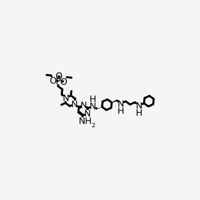 CCOP(=O)(CCCN1C(C)CN(c2cc(N)nc(NC[C@H]3CC[C@H](CNCCCNC4CCCCC4)CC3)n2)CC1C)OCC